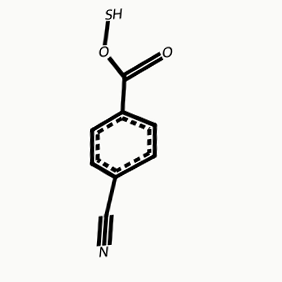 N#Cc1ccc(C(=O)OS)cc1